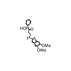 COc1cc2cc(C(F)CCC(=O)N(O)c3ccccc3)sc2cc1OC